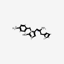 CCCCc1ncc(/C=C(/N)Cc2cccs2)n1Cc1ccc(N)cc1